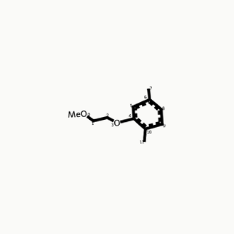 COCCOc1cc(C)ccc1C